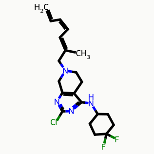 C=C/C=C\C=C(/C)CN1CCc2c(nc(Cl)nc2NC2CCC(F)(F)CC2)C1